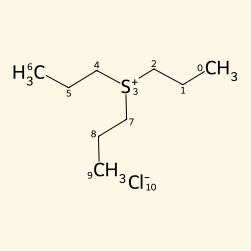 CCC[S+](CCC)CCC.[Cl-]